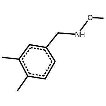 CONCc1ccc(C)c(C)c1